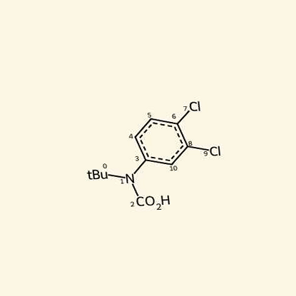 CC(C)(C)N(C(=O)O)c1ccc(Cl)c(Cl)c1